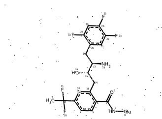 CC(C)(C)NC(=O)c1ccc(C(C)(F)F)nc1C[C@H](O)[C@H](N)Cc1cc(F)c(F)cc1F